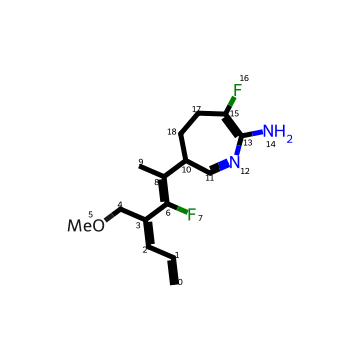 C=C/C=C(COC)\C(F)=C(/C)C1C=NC(N)=C(F)CC1